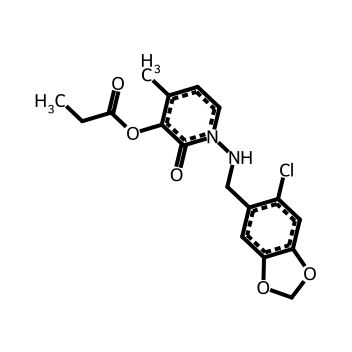 CCC(=O)Oc1c(C)ccn(NCc2cc3c(cc2Cl)OCO3)c1=O